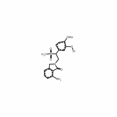 CCOc1cc(C(CN2Cc3cccc(N)c3C2=O)S(C)(=O)=O)ccc1OC